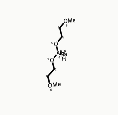 COCC[O][AlH][O]CCOC.[NaH]